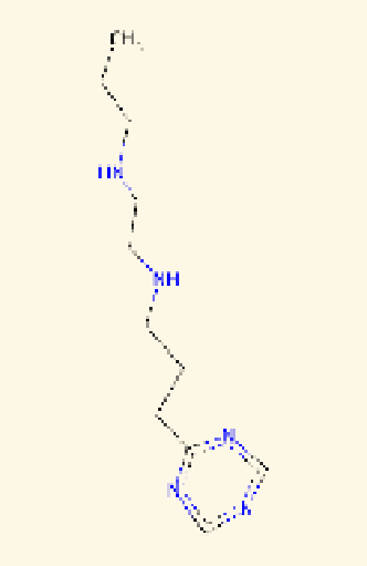 CCCNCCNCCCc1ncncn1